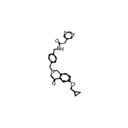 O=C(Cc1cncnc1)NCc1ccc(CN2CC(=O)c3cc(OCC4CC4)ccc3C2)cc1